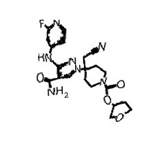 N#CCC1(n2cc(C(N)=O)c(Nc3ccnc(F)c3)n2)CCN(C(=O)OC2CCOC2)CC1